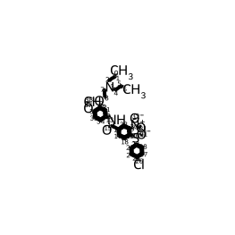 CCCN(CCC)CCOc1cc(NC(=O)c2ccc([S+]([O-])c3ccc(Cl)cc3)c([N+](=O)[O-])c2)ccc1OC